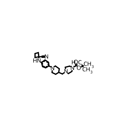 CC(C)(C)OC(=O)N1CCN(CC2CCN(c3ccc(NC4(C#N)CCC4)cc3)CC2)CC1